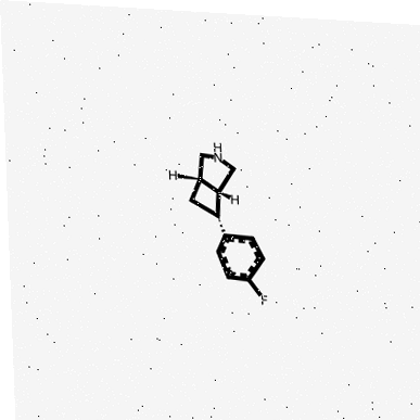 Fc1ccc([C@@H]2C[C@@H]3CNC[C@@H]32)cc1